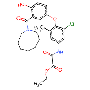 CCOC(=O)C(=O)Nc1cc(C)c(Oc2ccc(O)c(C(=O)N3CCCCCCC3)c2)c(Cl)c1